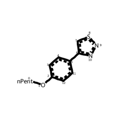 CCCCCOc1ccc(-c2csnn2)cc1